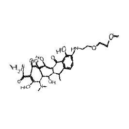 COCCOCCNc1ccc2c(c1O)C(=O)C1=C(O)C3(O)C(=O)C(C(N)=O)=C(O)C(N(C)C)C3C(O)C1C2C